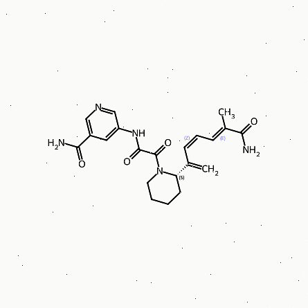 C=C(/C=C\C=C(/C)C(N)=O)[C@@H]1CCCCN1C(=O)C(=O)Nc1cncc(C(N)=O)c1